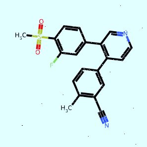 Cc1ccc(-c2ccncc2-c2ccc(S(C)(=O)=O)c(F)c2)cc1C#N